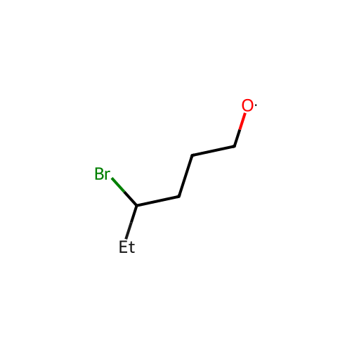 CCC(Br)CCC[O]